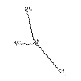 CCCCCCCCCCCCCCCCCCN1C=CN(CCCCCCCCCCCCCCCC)C1CCCCCC